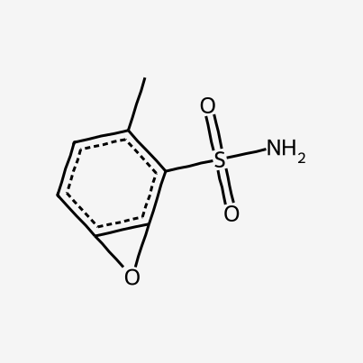 Cc1ccc2c(c1S(N)(=O)=O)O2